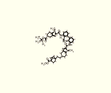 COC(=O)C12CCC(CCN3CCc4c(nc(C(=O)Nc5cccc(-c6cccc(NC(=O)c7nc8c(n7C)CCN(C(=O)OC(C)(C)C)C8)c6C#N)c5Cl)n4C)C3)(CC1)C2